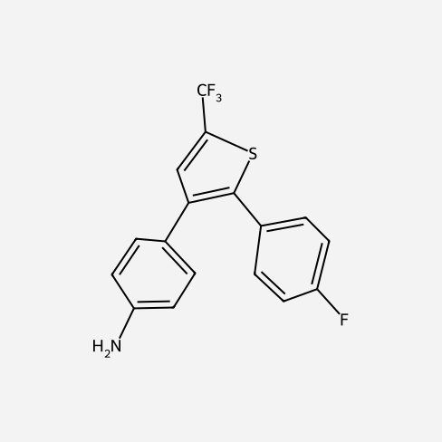 Nc1ccc(-c2cc(C(F)(F)F)sc2-c2ccc(F)cc2)cc1